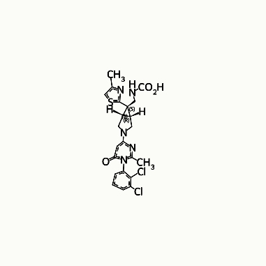 Cc1csc([C@]2(CNC(=O)O)[C@@H]3CN(c4cc(=O)n(-c5cccc(Cl)c5Cl)c(C)n4)C[C@@H]32)n1